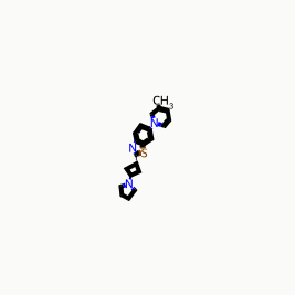 CC1=CC=CN(c2ccc3nc([C@H]4C[C@H](N5CCCC5)C4)sc3c2)C1